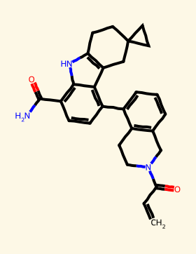 C=CC(=O)N1CCc2c(cccc2-c2ccc(C(N)=O)c3[nH]c4c(c23)CC2(CC4)CC2)C1